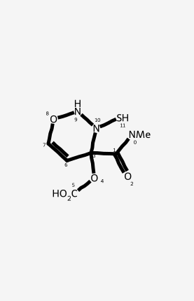 CNC(=O)C1(OC(=O)O)C=CONN1S